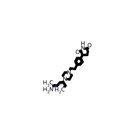 C=C/C(=C\C=C(/C)N)N1CCN(CCc2ccc(C3CCC(=O)NC3=O)cc2)CC1